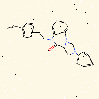 COc1ccc(CCN2C(=O)C3CN(c4ccccc4)CN3c3ccccc32)cc1